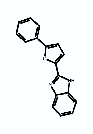 c1ccc(-c2ccc(-c3nc4ccccc4[nH]3)o2)cc1